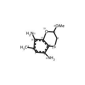 COC1CSc2c(N)cc(C)c(N)c2O1